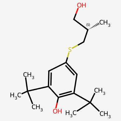 C[C@@H](CO)CSc1cc(C(C)(C)C)c(O)c(C(C)(C)C)c1